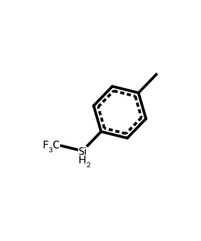 Cc1ccc([SiH2]C(F)(F)F)cc1